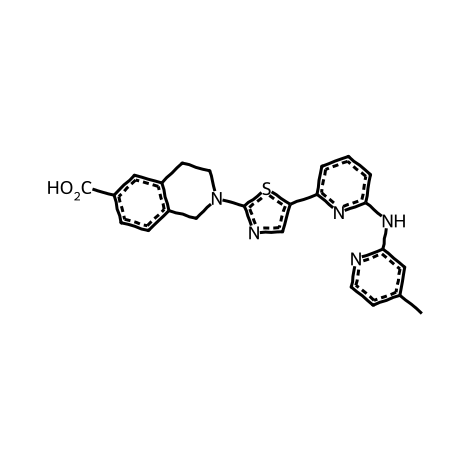 Cc1ccnc(Nc2cccc(-c3cnc(N4CCc5cc(C(=O)O)ccc5C4)s3)n2)c1